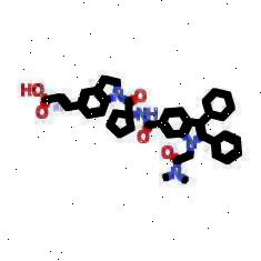 CN(C)C(=O)Cn1c(-c2ccccc2)c(C2CCCCC2)c2ccc(C(=O)NC3(C(=O)N4CCc5cc(/C=C/C(=O)O)ccc54)CCCC3)cc21